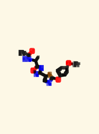 CC(C)Oc1ccc(Oc2ncc(-c3noc(C(C)NC(=O)C(C)C)n3)s2)cc1